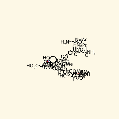 CCN(C(=O)OCc1ccc(NC(=O)[C@H](CCCNC(N)=O)NC(=O)[C@@H](NC(=O)[C@H](CCCCN)NC(C)=O)C(C)C)cc1)[C@H]1CO[C@@H](O[C@H]2[C@H](O[C@H]3C#CC=CC#C[C@]4(O)CC(=O)C(NC(=O)OC)=C3/C4=C\CSSC(C)(C)CCC(=O)O)O[C@H](C)[C@@H](NO[C@H]3C[C@H](O)[C@H](SC(=O)c4c(C)c(I)c(O[C@@H]5O[C@@H](C)[C@H](O)[C@@H](OC)[C@H]5O)c(OC)c4OC)[C@@H](C)O3)[C@@H]2O)C[C@@H]1OC